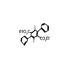 CCOC(=O)c1c(I)c(-c2ccccc2)c(C(=O)OCC)c(I)c1-c1ccccc1